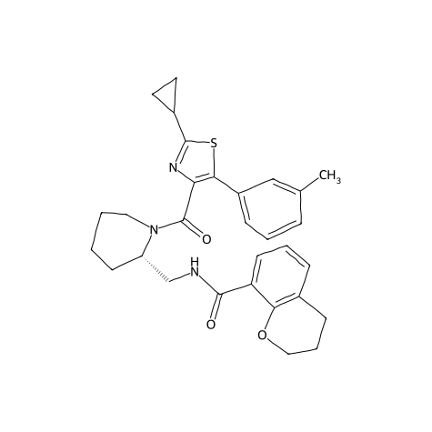 Cc1cccc(-c2sc(C3CC3)nc2C(=O)N2CCCC[C@H]2CNC(=O)c2cccc3c2OCCC3)c1